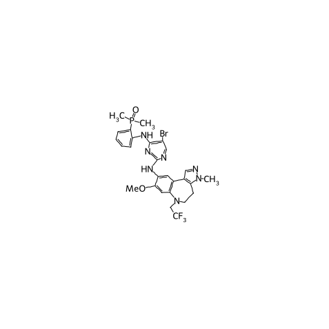 COc1cc2c(cc1Nc1ncc(Br)c(Nc3ccccc3P(C)(C)=O)n1)-c1cnn(C)c1CCN2CC(F)(F)F